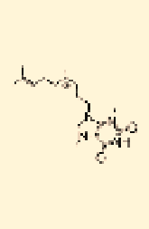 CC(C)=CCC[C@H](C)CCCN1CN(C)c2c1n(C)c(=O)[nH]c2=O